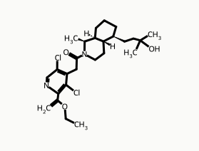 C=C(OCC)c1ncc(Cl)c(CC(=O)N2CC[C@H]3[C@H](CCC(C)(C)O)CCC[C@@H]3[C@@H]2C)c1Cl